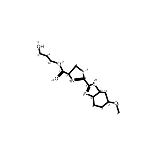 COC1CCC2N=C(C3=NC(C(=O)OCCCO)CS3)SC2C1